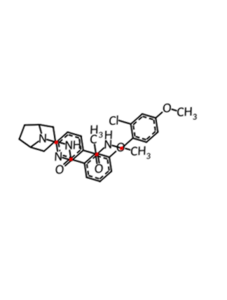 COc1ccc(CNC(=O)c2ccc(N3C4CCC3CC(NC(=O)c3cccc(OC)c3C)C4)nc2)c(Cl)c1